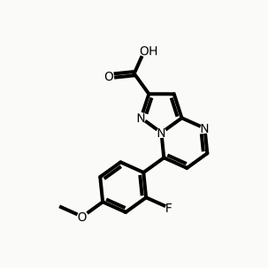 COc1ccc(-c2ccnc3cc(C(=O)O)nn23)c(F)c1